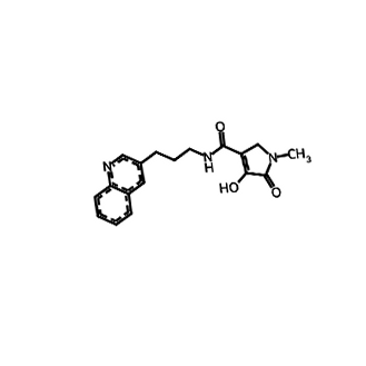 CN1CC(C(=O)NCCCc2cnc3ccccc3c2)=C(O)C1=O